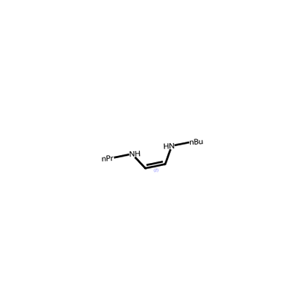 CCCCN/C=C\NCCC